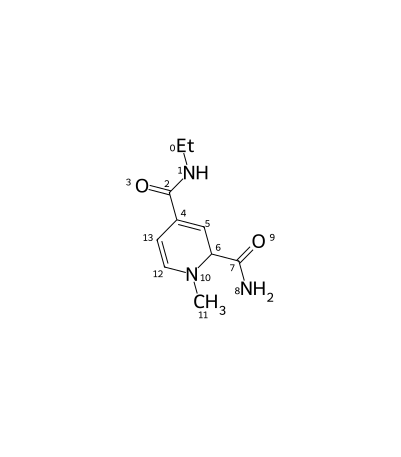 CCNC(=O)C1=CC(C(N)=O)N(C)C=C1